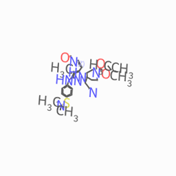 Cc1c(Nc2ccc(SN(C)C)cc2)nn(C2(CC#N)CCN(C(=O)OC(C)(C)C)CC2)c1/C=C\NC=O